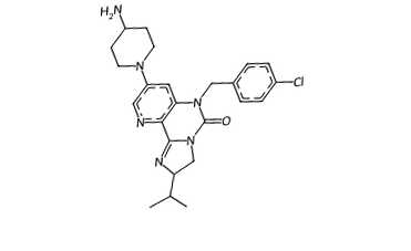 CC(C)C1CN2C(=O)N(Cc3ccc(Cl)cc3)c3cc(N4CCC(N)CC4)cnc3C2=N1